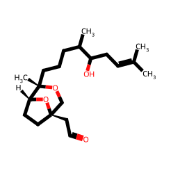 CC(C)=CCC(O)C(C)CCC[C@]1(C)OC[C@]2(CC=O)CC[C@H]1O2